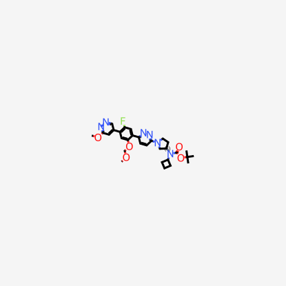 COCOc1cc(-c2cnnc(OC)c2)c(F)cc1-c1ccc(N2CC[C@H](N(C(=O)OC(C)(C)C)C3CCC3)C2)nn1